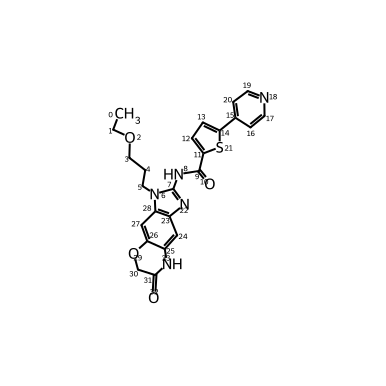 CCOCCCn1c(NC(=O)c2ccc(-c3ccncc3)s2)nc2cc3c(cc21)OCC(=O)N3